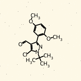 COc1ccc(OC)c(-c2nn(C(C)(C)C)c(Cl)c2C=O)c1